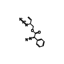 C=CC(COC(=O)C(=[N+]=[N-])c1ccccc1)N=[N+]=[N-]